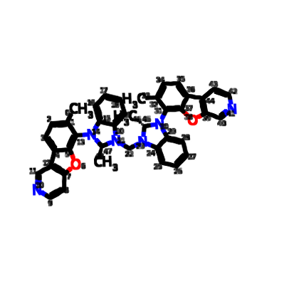 Cc1ccc2c(oc3ccncc32)c1N1c2ccccc2N(CN2c3ccccc3N(c3c(C)ccc4c3oc3cnccc34)[C@H]2C)[C@H]1C